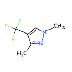 [CH2]c1nn(C)cc1C(F)(F)F